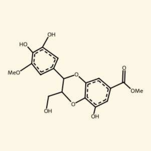 COC(=O)c1cc(O)c2c(c1)OC(c1cc(O)c(O)c(OC)c1)C(CO)O2